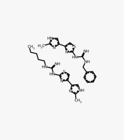 CCCCCNC(=N)Nc1nc(-c2c[nH]c(C)n2)cs1.Cc1nc(-c2csc(NC(=N)NCc3ccccc3)n2)c[nH]1